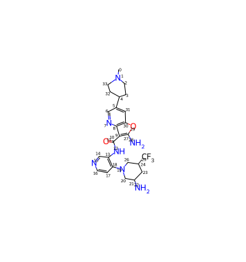 CN1CCC(c2cnc3c(C(=O)Nc4cnccc4N4CC(N)CC(C(F)(F)F)C4)c(N)oc3c2)CC1